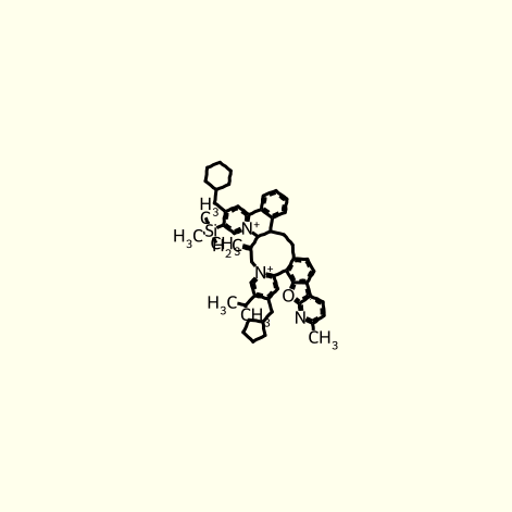 C=C1C[n+]2cc(C(C)C)c(CC3CCCC3)cc2-c2c(ccc3c2oc2nc(C)ccc23)CCC2c3ccccc3-c3cc(CC4CCCCC4)c([Si](C)(C)C)c[n+]3C12